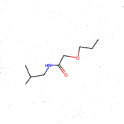 CCCOCC(=O)NCC(C)C